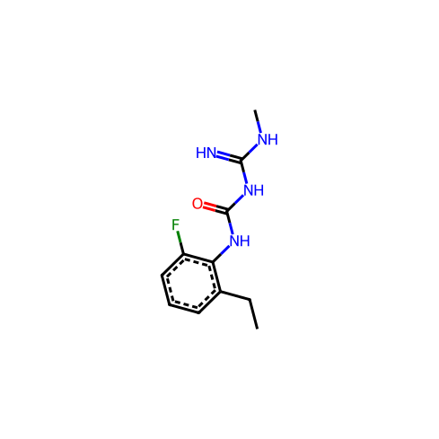 CCc1cccc(F)c1NC(=O)NC(=N)NC